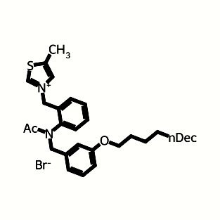 CCCCCCCCCCCCCCOc1cccc(CN(C(C)=O)c2ccccc2C[n+]2csc(C)c2)c1.[Br-]